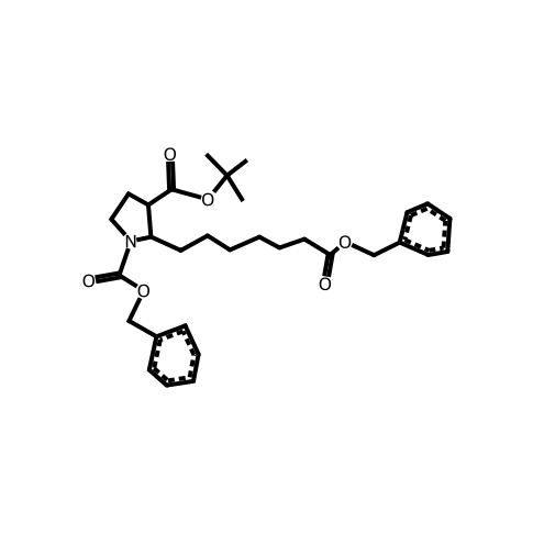 CC(C)(C)OC(=O)C1CCN(C(=O)OCc2ccccc2)C1CCCCCCC(=O)OCc1ccccc1